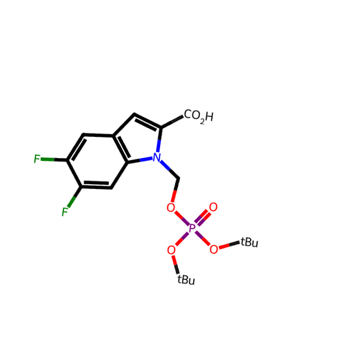 CC(C)(C)OP(=O)(OCn1c(C(=O)O)cc2cc(F)c(F)cc21)OC(C)(C)C